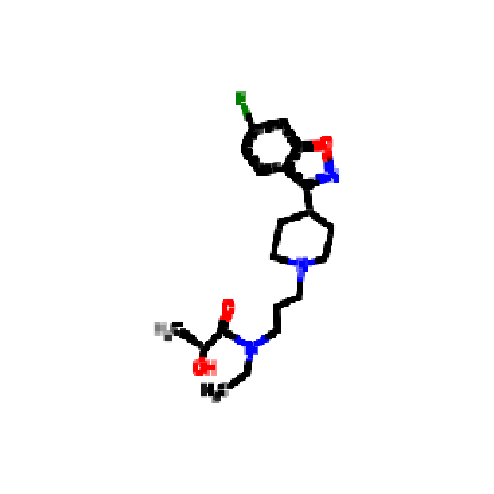 CCN(CCCN1CCC(c2noc3cc(F)ccc23)CC1)C(=O)[C@H](C)O